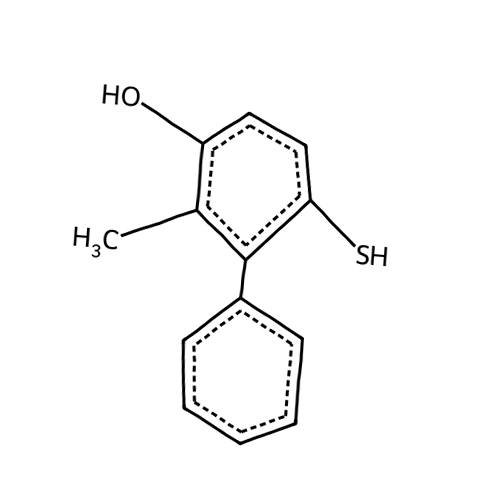 Cc1c(O)ccc(S)c1-c1ccccc1